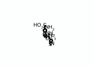 N[C@@H](Cc1ccc(C2(N)N=CC=C(OC(c3ccc4ncsc4c3)C(F)(F)F)N2)cc1)C(=O)O